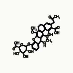 COc1c2c(c(OC)c3c1Oc1c(O[C@@H]4O[C@H](C(=O)O)[C@@H](O)[C@H](O)[C@H]4O)cccc1C3O)-c1c(cc(CC(C)=O)c(C(=O)O)c1O)CC2